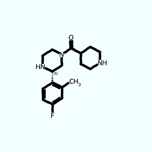 Cc1cc(F)ccc1[C@H]1CN(C(=O)C2CCNCC2)CCN1